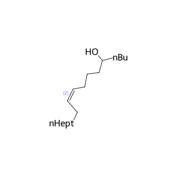 CCCCCCCC/C=C\CCCC(O)CCCC